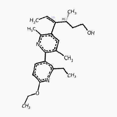 C/C=C(\c1cc(C)c(-c2ccc(OCC)nc2CC)nc1C)[C@H](C)CCO